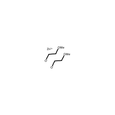 COCC[O-].COCC[O-].[Zn+2]